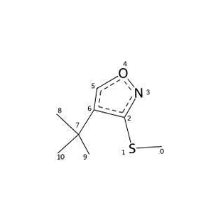 CSc1nocc1C(C)(C)C